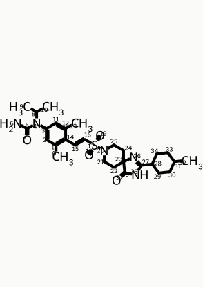 Cc1cc(N(C(N)=O)C(C)C)cc(C)c1C=CS(=O)(=O)N1CCC2(CC1)N=C(C1CCC(C)CC1)NC2=O